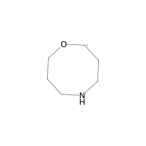 [CH]1CCNCCCO1